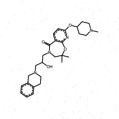 CN1CCC(Oc2ccc3c(n2)OC(C)(C)CN(CC(O)CN2CCc4ccccc4C2)C3=O)CC1